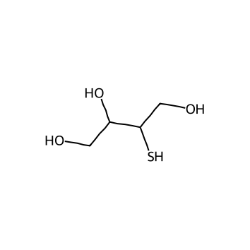 OCC(O)C(S)CO